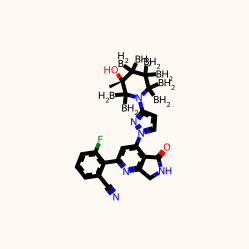 BC1(B)N(c2ccn(-c3cc(-c4c(F)cccc4C#N)nc4c3C(=O)NC4)n2)C(B)(B)[C@](C)(O)C(B)(B)C1(B)B